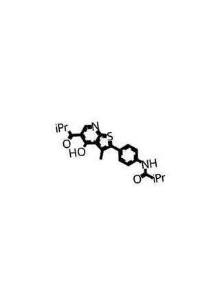 Cc1c(-c2ccc(NC(=O)C(C)C)cc2)sc2ncc(C(=O)C(C)C)c(O)c12